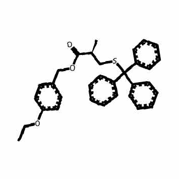 CCOc1ccc(COC(=O)[C@@H](C)CSC(c2ccccc2)(c2ccccc2)c2ccccc2)cc1